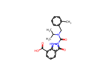 Cc1ccccc1CN(C(=O)n1[nH]c2c(C(=O)O)cccc2c1=O)C(C)C